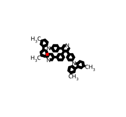 Cc1ccc2c(c1)c1cc(C)ccc1n2-c1ccc(-c2cncc(-c3ccc(-n4c5ccc(C)cc5c5cc(C)ccc54)cc3)c2-c2cccc(-c3cccnc3)c2)cc1